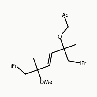 COC(C)(C=CC(C)(CC(C)C)OCC(C)=O)CC(C)C